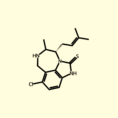 CC(C)=CC[C@H]1C(C)NCc2c(Cl)ccc3[nH]c(=S)n1c23